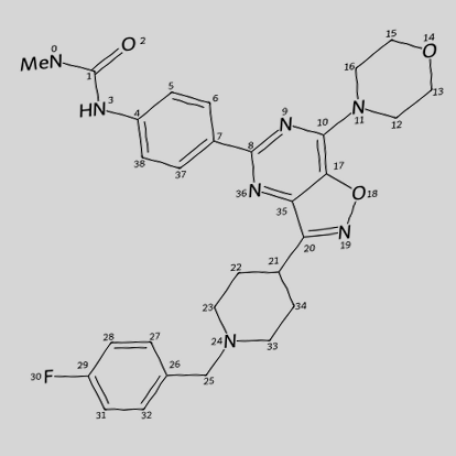 CNC(=O)Nc1ccc(-c2nc(N3CCOCC3)c3onc(C4CCN(Cc5ccc(F)cc5)CC4)c3n2)cc1